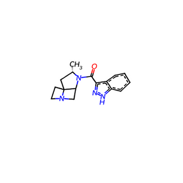 C[C@H]1CC23CCN2CC3N1C(=O)c1n[nH]c2ccccc12